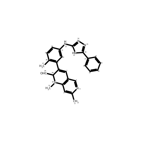 Cc1cc2c(cn1)C=C(c1cc(Nc3nnc(-c4ccccc4)[nH]3)ccc1C)C(C=O)N2C